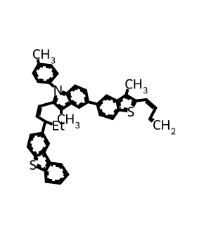 C=C/C=C\c1sc2ccc(-c3ccc4c(c3)c(C)c(/C=C\C(CC)c3ccc5sc6ccccc6c5c3)n4-c3ccc(C)cc3)cc2c1C